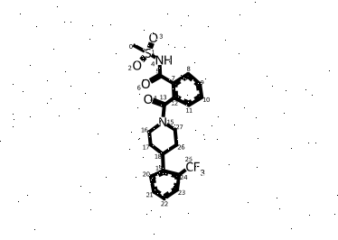 CS(=O)(=O)NC(=O)c1ccccc1C(=O)N1CCC(c2ccccc2C(F)(F)F)CC1